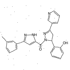 Cc1cccc(-c2cc(C(=O)N3N=C(c4cccnc4)CC3c3ccccc3O)[nH]n2)c1